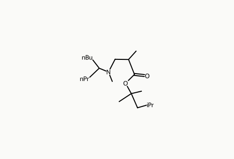 CCCCC(CCC)N(C)CC(C)C(=O)OC(C)(C)CC(C)C